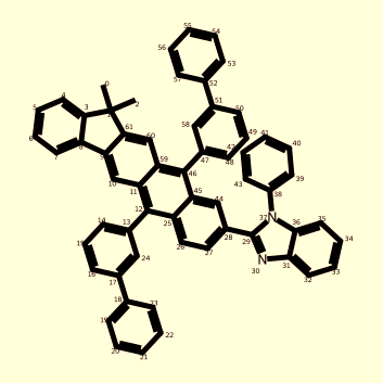 CC1(C)c2ccccc2-c2cc3c(-c4cccc(-c5ccccc5)c4)c4ccc(-c5nc6ccccc6n5-c5ccccc5)cc4c(-c4cccc(-c5ccccc5)c4)c3cc21